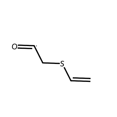 C=CSC[C]=O